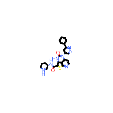 O=C(N[C@@H]1CCCNC1)c1sc2nccc3c2c1NC(=O)N3c1cnnc(-c2ccccc2)c1